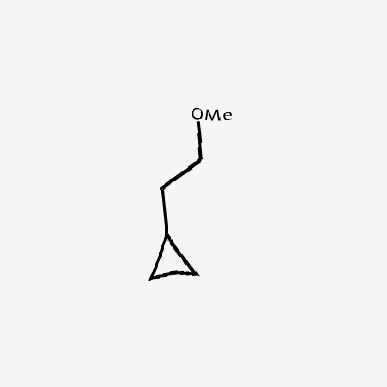 [CH2]OCCC1CC1